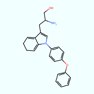 NC(CO)Cc1cn(-c2ccc(Oc3ccccc3)cc2)c2c1=CCCC=2